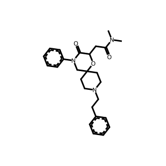 CN(C)C(=O)CC1OC2(CCN(CCc3ccccc3)CC2)CN(c2ccccc2)C1=O